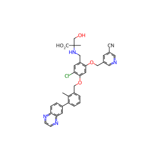 Cc1c(COc2cc(OCc3cncc(C#N)c3)c(CNC(C)(CO)C(=O)O)cc2Cl)cccc1-c1ccc2nccnc2c1